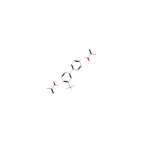 C=C(C)C(=O)Oc1ccc(-c2ccc(OC(=O)C(=C)C)c(C(C)(C)O)c2)cc1